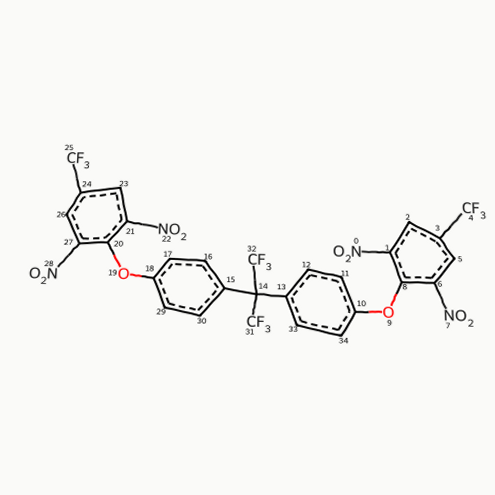 O=[N+]([O-])c1cc(C(F)(F)F)cc([N+](=O)[O-])c1Oc1ccc(C(c2ccc(Oc3c([N+](=O)[O-])cc(C(F)(F)F)cc3[N+](=O)[O-])cc2)(C(F)(F)F)C(F)(F)F)cc1